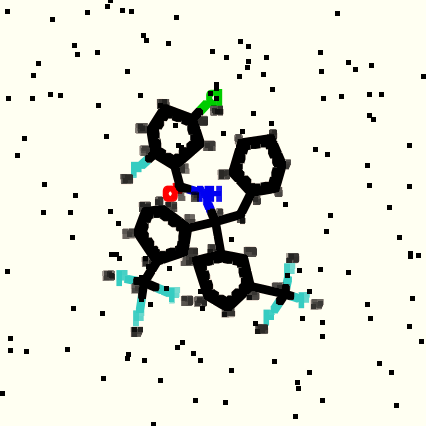 O=C(NC(Cc1ccccc1)(c1cccc(C(F)(F)F)c1)c1cccc(C(F)(F)F)c1)c1cc(Cl)ccc1F